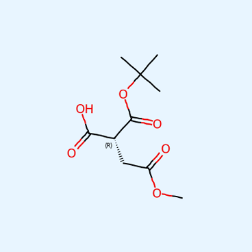 COC(=O)C[C@H](C(=O)O)C(=O)OC(C)(C)C